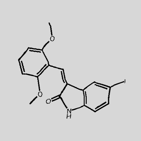 COc1cccc(OC)c1C=C1C(=O)Nc2ccc(I)cc21